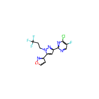 Fc1cnc(-c2cc(-c3ccon3)n(CCC(F)(F)F)n2)nc1Cl